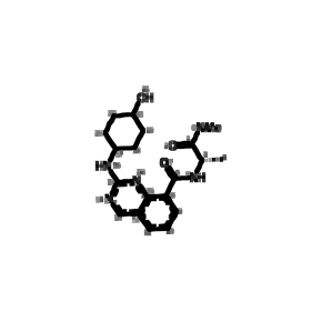 CNC(=O)[C@H](C)NC(=O)c1cccc2cnc(NC3CCC(O)CC3)nc12